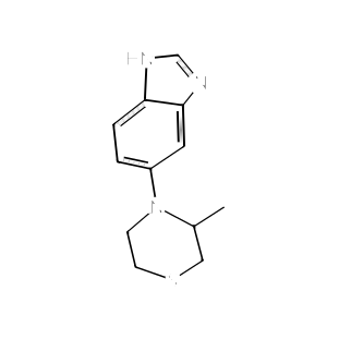 CC1[CH]SCCN1c1ccc2[nH]cnc2c1